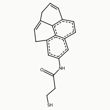 O=C(CCS)Nc1cc2c3c4c(ccc3c1)C=CCC4=CC2